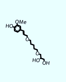 COc1cc(C=CCOCCCCCOCC(O)CO)ccc1O